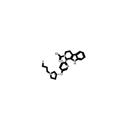 C=C(CC)N1CCc2c([nH]c3ccccc23)[C@H]1c1ccc(O[C@@H]2CCN(CCCF)C2)cn1